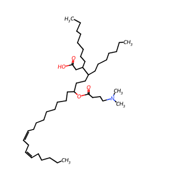 CCCCC/C=C\C/C=C\CCCCCCCCC(CCC(CCCCCCC)C(CCCCCCCC)CC(=O)O)OC(=O)CCCN(C)C